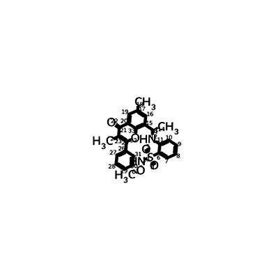 CONS(=O)(=O)c1ccccc1N[C@H](C)c1cc(C)cc2c(=O)c(C)c(-c3ccccc3)oc12